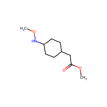 CONB1CCC(CC(=O)OC)CC1